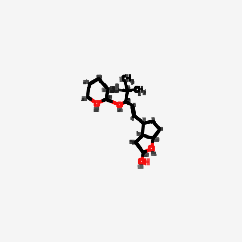 CCCCC(C)(C)C(/C=C/C1CCC2OC(O)CC12)OC1CCCCO1